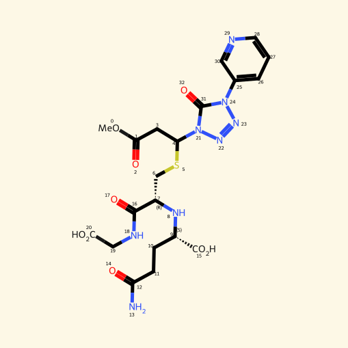 COC(=O)CC(SC[C@H](N[C@@H](CCC(N)=O)C(=O)O)C(=O)NCC(=O)O)n1nnn(-c2cccnc2)c1=O